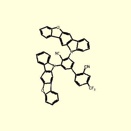 N#Cc1cc(C(F)(F)F)ccc1-c1cc(-n2c3ccccc3c3cc4oc5ccccc5c4cc32)c(C#N)c(-n2c3ccccc3c3cc4oc5ccccc5c4cc32)c1